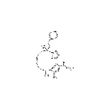 CC1CCC=CCCC(OCc2ccccc2)(C(F)(F)F)c2nnc(o2)-c2nc1c(C(F)(F)F)cc2NC(=O)O